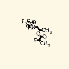 C=C(F)C(=O)OC(C)CNS(=O)(=O)C(F)(F)F